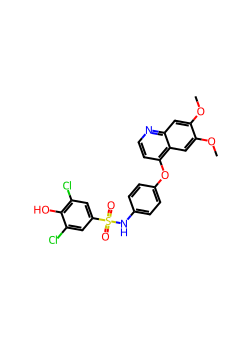 COc1cc2nccc(Oc3ccc(NS(=O)(=O)c4cc(Cl)c(O)c(Cl)c4)cc3)c2cc1OC